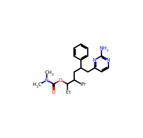 CCC(OC(=O)N(C)C)C(CC(Cc1ccnc(N)n1)c1ccccc1)C(C)C